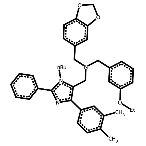 CCCCn1c(-c2ccccc2)nc(-c2ccc(C)c(C)c2)c1CN(Cc1cccc(OCC)c1)Cc1ccc2c(c1)OCO2